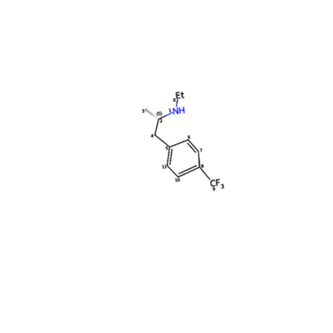 CCN[C@@H](C)Cc1ccc(C(F)(F)F)cc1